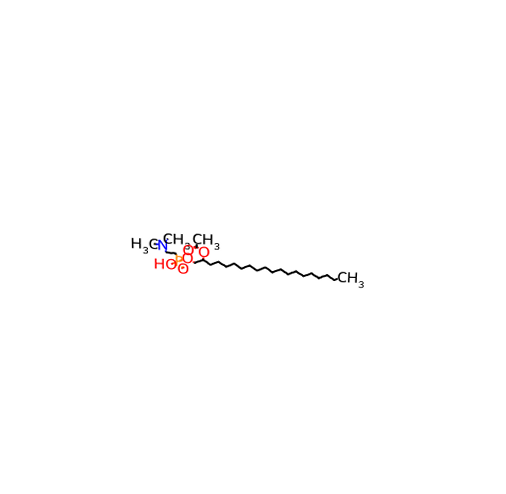 CCCCCCCCCCCCCCCCCCC(COP(=O)(O)CCN(C)C)OC(C)=O